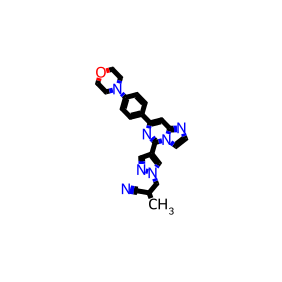 CC(C#N)Cn1cc(-c2nc(-c3ccc(N4CCOCC4)cc3)cc3nccn23)cn1